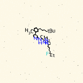 C=C(Nc1cc(-c2cc(CCCCC(C)(C)C)ccc2C)ccn1)c1nc2n(n1)C(/C=C/CCC(F)CC)CC2